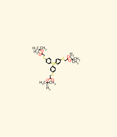 CC(C)(C)OC(=O)CSc1ccc([SH](c2ccc(SCC(=O)OC(C)(C)C)cc2)c2ccc(SCC(=O)OC(C)(C)C)cc2)cc1